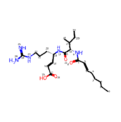 CCCCC/C=C/C(=O)N[C@H](C(=O)N[C@H](/C=C/C(=O)O)CCCNC(=N)N)C(C)CC